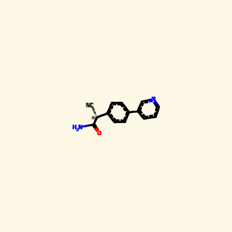 N#C[C@@H](C(N)=O)c1ccc(-c2cccnc2)cc1